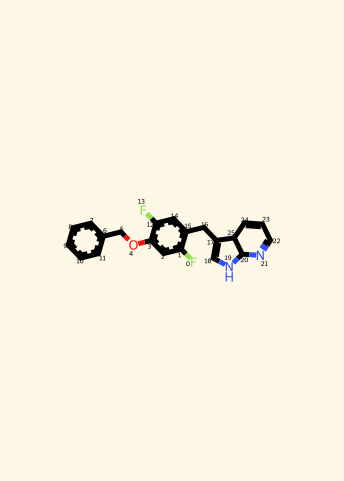 Fc1cc(OCc2ccccc2)c(F)cc1CC1=CNC2N=CC=CC12